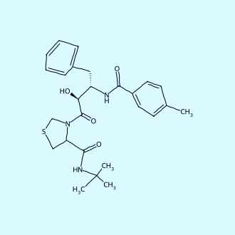 Cc1ccc(C(=O)N[C@@H](Cc2ccccc2)[C@H](O)C(=O)N2CSCC2C(=O)NC(C)(C)C)cc1